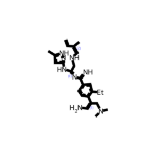 C=C/C(C)=C\NC/C(=N\C(=N)c1ccc(/C(=C\N)CN(C)C)c(CC)c1)Nc1cc(C)[nH]n1